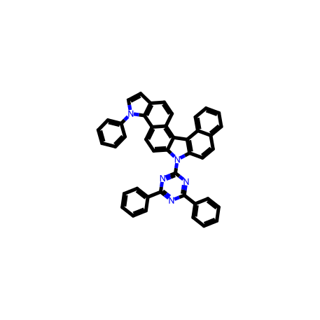 c1ccc(-c2nc(-c3ccccc3)nc(-n3c4ccc5ccccc5c4c4c5ccc6ccn(-c7ccccc7)c6c5ccc43)n2)cc1